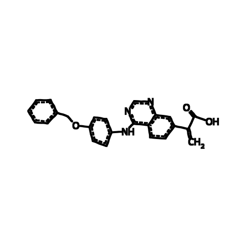 C=C(C(=O)O)c1ccc2c(Nc3ccc(OCc4ccccc4)cc3)ncnc2c1